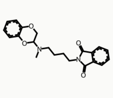 CN(CCCCN1C(=O)c2ccccc2C1=O)C1COc2ccccc2O1